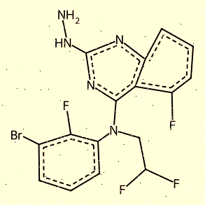 NNc1nc(N(CC(F)F)c2cccc(Br)c2F)c2c(F)cccc2n1